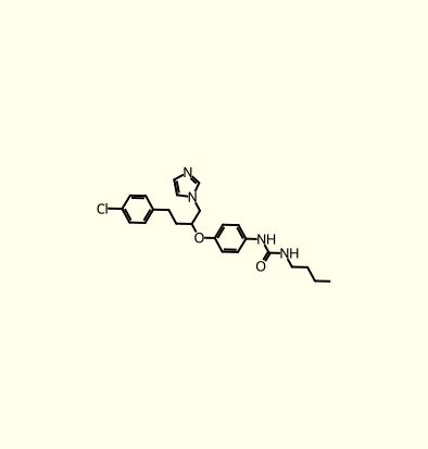 CCCCNC(=O)Nc1ccc(OC(CCc2ccc(Cl)cc2)Cn2ccnc2)cc1